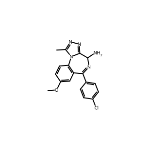 COc1ccc2c(c1)C(c1ccc(Cl)cc1)=NC(N)c1nnc(C)n1-2